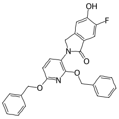 O=C1c2cc(F)c(O)cc2CN1c1ccc(OCc2ccccc2)nc1OCc1ccccc1